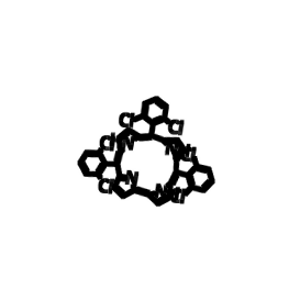 Clc1cccc(Cl)c1-c1c2nc(c3ccc([nH]3)c(-c3c(Cl)cccc3Cl)c3ccc([nH]3)c(-c3c(Cl)cccc3Cl)c3ccc1[nH]3)C=C2